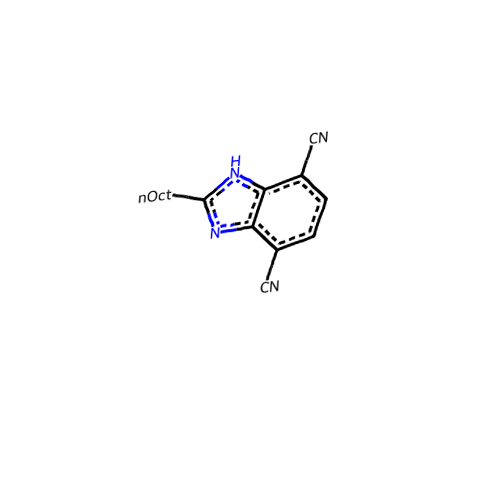 CCCCCCCCc1nc2c(C#N)ccc(C#N)c2[nH]1